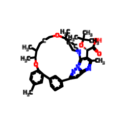 Cc1ccc2c(c1)-c1cccc(c1)-c1cc3nc(C)c([C@H](OC(C)(C)C)C(=O)O)c(n3n1)N1CCC(C)(CC1)OCCCC(C)C(C)O2